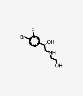 OCCNC[C@@H](O)c1ccc(Br)c(F)c1